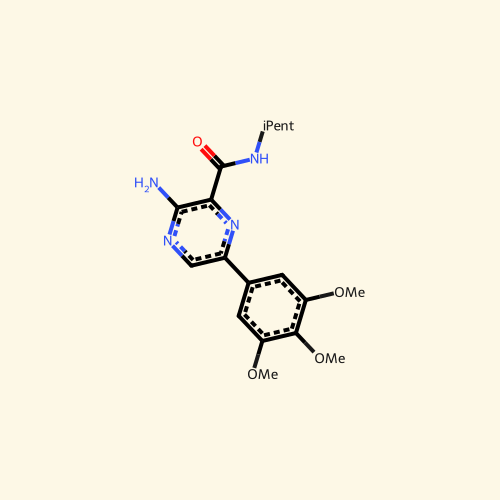 CCCC(C)NC(=O)c1nc(-c2cc(OC)c(OC)c(OC)c2)cnc1N